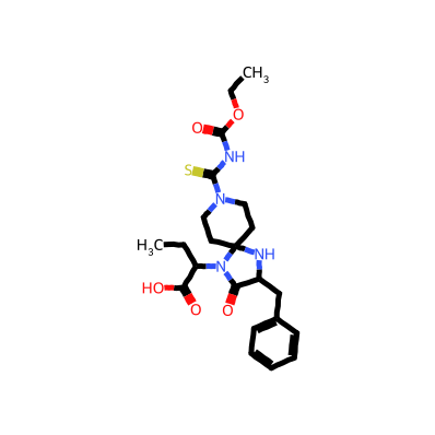 CCOC(=O)NC(=S)N1CCC2(CC1)NC(Cc1ccccc1)C(=O)N2C(CC)C(=O)O